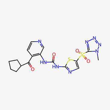 Cn1nnnc1S(=O)(=O)c1cnc(NC(=O)Nc2cnccc2C(=O)C2CCCC2)s1